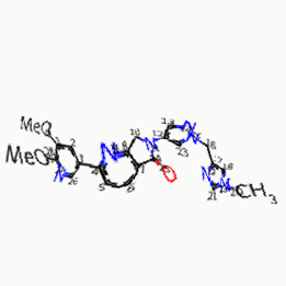 COc1cc(-c2ccc3c(n2)CN(c2cnn(Cc4cn(C)cn4)c2)C3=O)cnc1OC